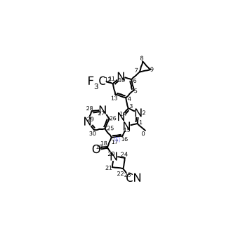 Cc1nc(-c2cc(C3CC3)nc(C(F)(F)F)c2)nn1/C=C(/C(=O)N1CC(C#N)C1)c1cncnc1